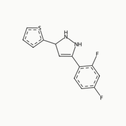 Fc1ccc(C2=CC(c3cccs3)NN2)c(F)c1